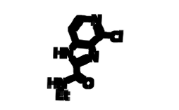 CCNC(=O)c1nc2c(Cl)nccc2[nH]1